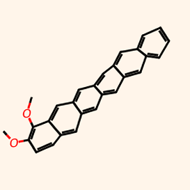 COc1ccc2cc3cc4cc5cc6ccccc6cc5cc4cc3cc2c1OC